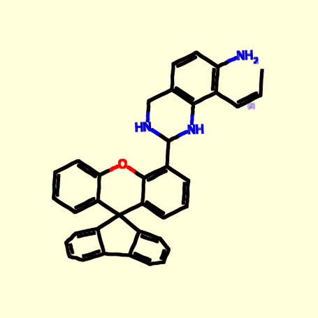 C/C=C\c1c(N)ccc2c1NC(c1cccc3c1Oc1ccccc1C31c3ccccc3-c3ccccc31)NC2